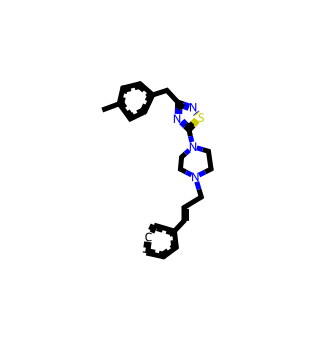 Cc1ccc(Cc2nsc(N3CCN(C/C=C/c4ccccc4)CC3)n2)cc1